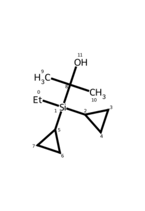 CC[Si](C1CC1)(C1CC1)C(C)(C)O